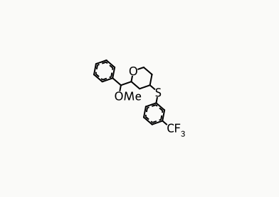 COC(c1ccccc1)C1CC(Sc2cccc(C(F)(F)F)c2)CCO1